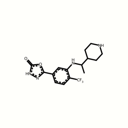 CC(Nc1cc(-c2n[nH]c(=O)o2)ccc1C(F)(F)F)C1CCNCC1